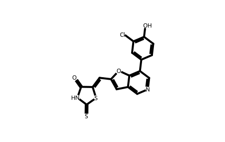 O=C1NC(=S)S/C1=C\c1cc2cncc(-c3ccc(O)c(Cl)c3)c2o1